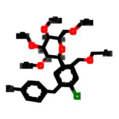 CCCCOC[C@H]1O[C@@H](c2cc(Cc3ccc(CC)cc3)c(Cl)cc2COCC(C)=O)[C@H](OCCCC)[C@@H](OCCCC)[C@@H]1OCCCC